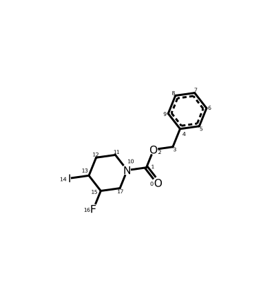 O=C(OCc1ccccc1)N1CCC(I)C(F)C1